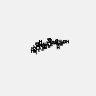 C=Cc1c(NC)ccc(Nc2nc(C3=CC=C(OCC(=O)NC4CC(O)C4)C(OC)C3)nn2C)c1Cl